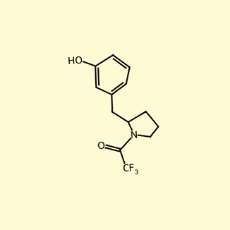 O=C(N1CCCC1Cc1cccc(O)c1)C(F)(F)F